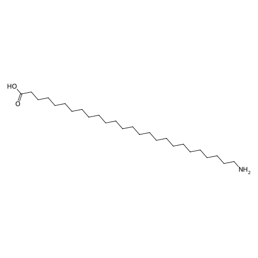 NCCCCCCCCCCCCCCCCCCCCCCCCCC(=O)O